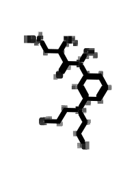 CN(C(=O)C(N)CC(=O)O)c1cccc(N(CCCl)CCCl)c1